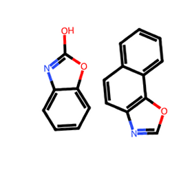 Oc1nc2ccccc2o1.c1ccc2c(c1)ccc1ncoc12